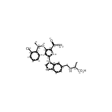 C[C@H](NCc1ccc2ncn(-c3cc(O[C@H](C)c4ccccc4Cl)c(C(N)=O)s3)c2c1)C(=O)O